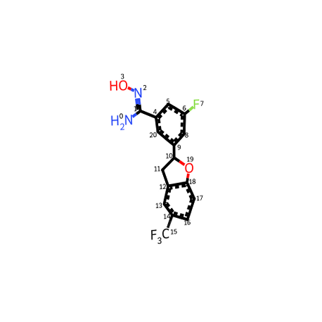 N/C(=N\O)c1cc(F)cc(C2Cc3cc(C(F)(F)F)ccc3O2)c1